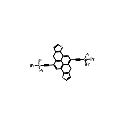 CC(C)[Si](C#Cc1cc2c3c(c(C#C[Si](C(C)C)(C(C)C)C(C)C)cc4c3c1Cc1ccsc1-4)Cc1ccsc1-2)(C(C)C)C(C)C